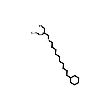 CCCCCCCCCCO[C@@H](CO)CSCCCCCCCCCCC1CCCCC1